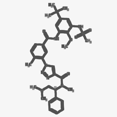 COc1c(NC(=O)c2ccc(C)c(-n3cc(C(=O)N(C)[C@H](CN(C)C)c4ccccc4)nn3)c2)cc(C(C)(C)C)cc1NS(C)(=O)=O